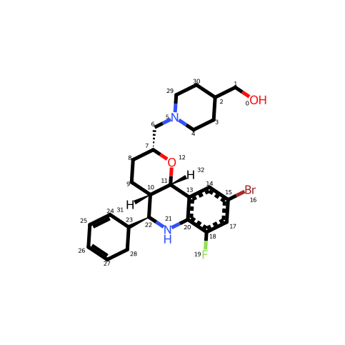 OCC1CCN(C[C@H]2CC[C@@H]3[C@H](O2)c2cc(Br)cc(F)c2N[C@H]3C2C=CC=CC2)CC1